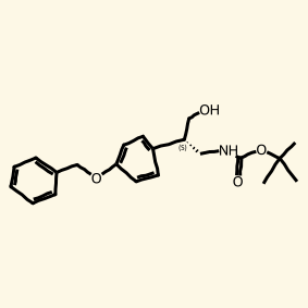 CC(C)(C)OC(=O)NC[C@@H](CO)c1ccc(OCc2ccccc2)cc1